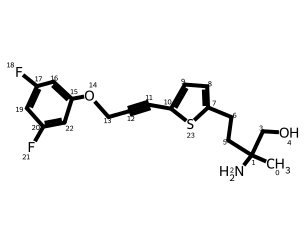 CC(N)(CO)CCc1ccc(C#CCOc2cc(F)cc(F)c2)s1